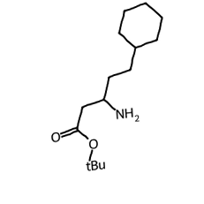 CC(C)(C)OC(=O)CC(N)CCC1CCCCC1